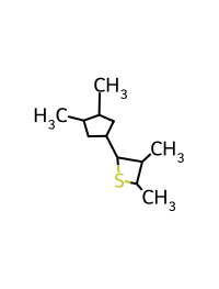 CC1CC(C2SC(C)C2C)CC1C